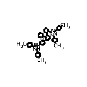 Cc1ccc(-c2nc(-c3ccc(C)cc3)nc(-c3ccc(-c4cccc(-c5ccccc5-c5nc(-c6ccc(C)cc6)nc(-c6ccc(C)cc6)n5)c4-c4ccccn4)cc3)n2)cc1